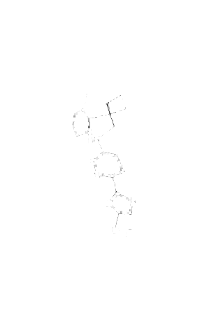 O=C(O)c1cnc(-c2ccc(NCC3(c4ncccc4F)CCC3)nn2)s1